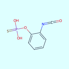 O=C=Nc1ccccc1OP(O)(O)=S